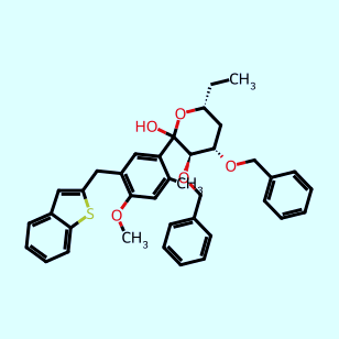 CC[C@@H]1C[C@H](OCc2ccccc2)[C@@H](OCc2ccccc2)C(O)(c2cc(Cc3cc4ccccc4s3)c(OC)cc2C)O1